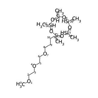 COCCOCCOCCC[Si]1(C)O[SiH](C)O[SiH](C)O[SiH](C)O[SiH](C)O1